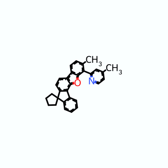 Cc1ccnc(-c2c(C)ccc3c2oc2c4c(ccc23)C2(CCCC2)c2ccccc2-4)c1